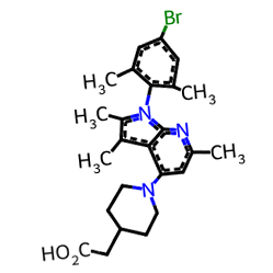 Cc1cc(N2CCC(CC(=O)O)CC2)c2c(C)c(C)n(-c3c(C)cc(Br)cc3C)c2n1